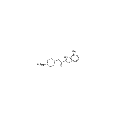 CC(=O)NC1CCC(NC(=O)c2cc3cccc(C)c3[nH]2)CC1